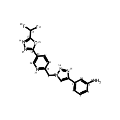 Nc1cccc(-c2cn(Cc3ccc(-c4nnc(C(F)F)o4)cn3)nn2)c1